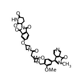 COc1cc(-c2cn(C)c(=O)c3cnccc23)cc(OC)c1CN1CC(CC(=O)N2CC(Oc3ccc4c(c3)C(=O)N(C3CCC(=O)NC3=O)C4=O)C2)C1